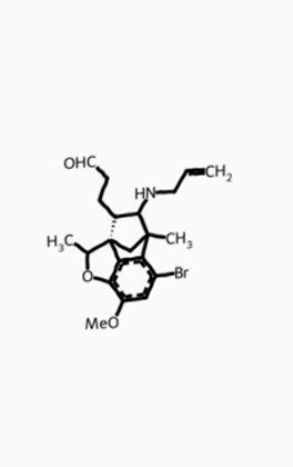 C=CCNC1C(CCC=O)[C@]23CC1(C)c1c(Br)cc(OC)c(c12)OC3C